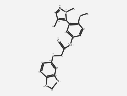 COc1ccc(NC(=O)COc2ccc3c(c2)OCO3)cc1-c1c(C)cnn1C